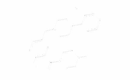 CC(=O)N1CCN(C(=O)c2cc(CN3CCC(c4ccccc4C#N)CC3)ccc2C)CC1